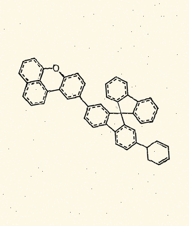 C1=CCC(c2ccc3c(c2)C2(c4ccccc4-c4ccccc42)c2cc(-c4ccc5c(c4)-c4cccc6cccc(c46)O5)ccc2-3)C=C1